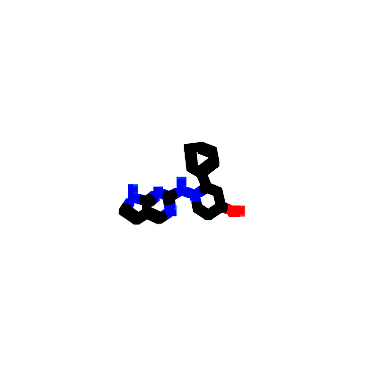 OC1CCN(Nc2ncc3cc[nH]c3n2)C(c2ccccc2)C1